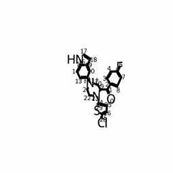 O=C(c1ccc(F)cc1)C1C[N+](c2ccc3[nH]ccc3c2)CCN1c1ccc(Cl)s1